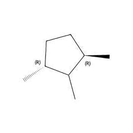 CC1[C@H](C)CC[C@H]1C